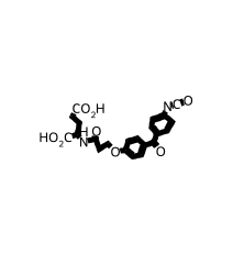 O=C=Nc1ccc(C(=O)c2ccc(OCCC(=O)NC(CCC(=O)O)C(=O)O)cc2)cc1